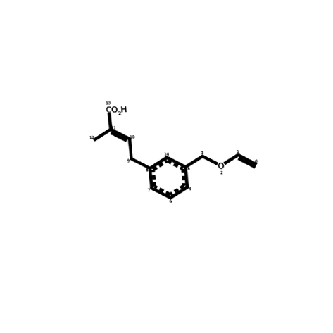 C=COCc1cccc(CC=C(C)C(=O)O)c1